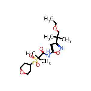 CCOCC(C)(C)c1cc(NC(=O)C(C)(C)S(=O)(=O)C2CCOCC2)on1